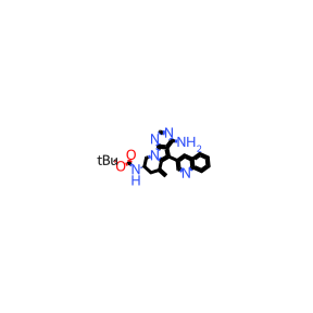 C=C1C[C@H](NC(=O)OC(C)(C)C)Cn2c1c(-c1cnc3ccccc3c1)c1c(N)ncnc12